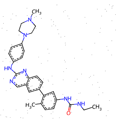 CCNC(=O)Nc1ccc(C)c(-c2ccc3nc(Nc4ccc(N5CCN(C)CC5)cc4)ncc3c2)c1